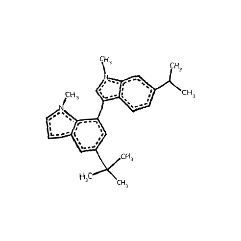 CC(C)c1ccc2c(-c3cc(C(C)(C)C)cc4ccn(C)c34)cn(C)c2c1